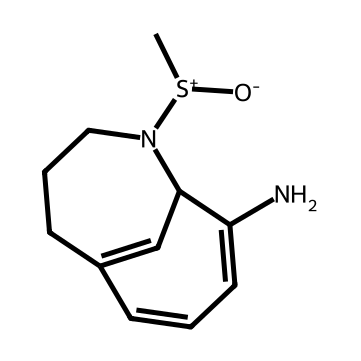 C[S+]([O-])N1CCCC2=CC1C(N)=CC=C2